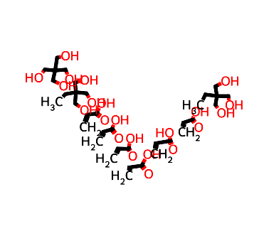 C=CC(=O)O.C=CC(=O)O.C=CC(=O)O.C=CC(=O)O.C=CC(=O)O.C=CC(=O)O.CCC(CO)(CO)CO.CCC(CO)(CO)CO.OCC(CO)(CO)CO